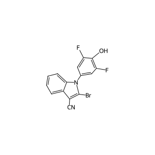 N#Cc1c(Br)n(-c2cc(F)c(O)c(F)c2)c2ccccc12